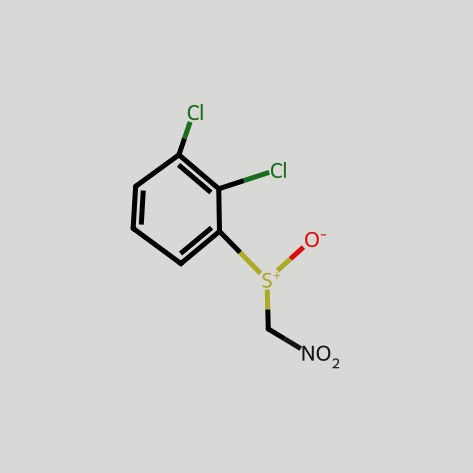 O=[N+]([O-])C[S+]([O-])c1cccc(Cl)c1Cl